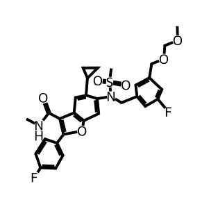 CNC(=O)c1c(-c2ccc(F)cc2)oc2cc(N(Cc3cc(F)cc(COCOC)c3)S(C)(=O)=O)c(C3CC3)cc12